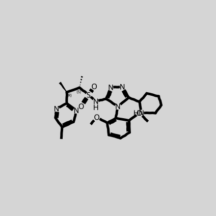 COc1cccc(OC)c1-n1c(NS(=O)(=O)[C@@H](C)[C@H](C)c2ncc(C)cn2)nnc1C1CCCCN1